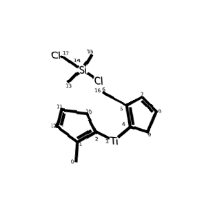 CC1=[C]([Ti][C]2=C(C)C=CC2)CC=C1.C[Si](C)(Cl)Cl